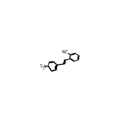 N#Cc1ccccc1C=Cc1ccc([N+](=O)[O-])cc1